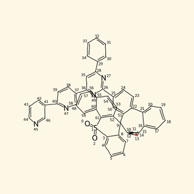 O=S1(=O)c2ccccc2C2(c3ccccc3-c3ccccc3-c3ccc(-c4nc(-c5ccccc5)cc(-c5ccc(-c6cccnc6)nc5)n4)cc32)c2ccc3ccccc3c21